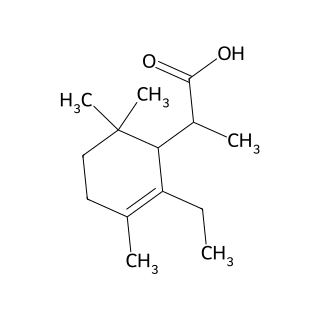 CCC1=C(C)CCC(C)(C)C1C(C)C(=O)O